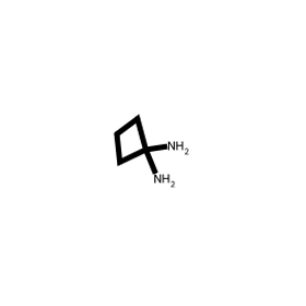 NC1(N)CCC1